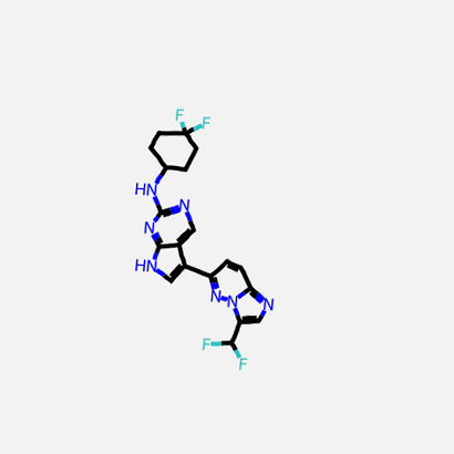 FC(F)c1cnc2ccc(-c3c[nH]c4nc(NC5CCC(F)(F)CC5)ncc34)nn12